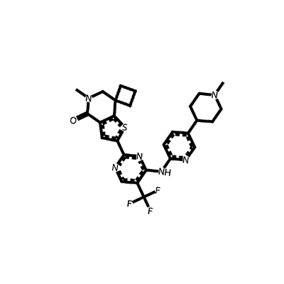 CN1CCC(c2ccc(Nc3nc(-c4cc5c(s4)C4(CCC4)CN(C)C5=O)ncc3C(F)(F)F)nc2)CC1